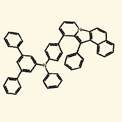 c1ccc(-c2cc(-c3ccccc3)cc(N(c3ccccc3)c3ccc(-c4cccn5c4c(-c4ccccc4)c4c6ccccc6ccc45)cc3)c2)cc1